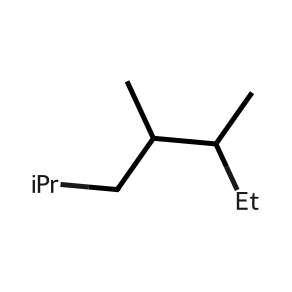 CCC(C)C(C)CC(C)C